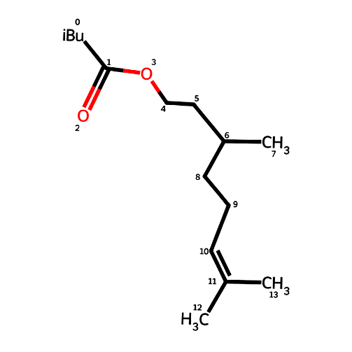 CCC(C)C(=O)OCCC(C)CCC=C(C)C